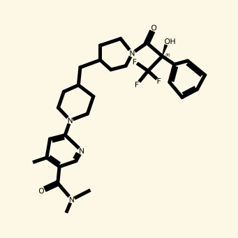 Cc1cc(N2CCC(CC3CCN(C(=O)[C@](O)(c4ccccc4)C(F)(F)F)CC3)CC2)ncc1C(=O)N(C)C